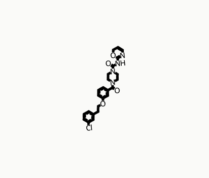 O=C(NC1=NC=CCO1)N1CCN(C(=O)c2cccc(OCCc3cccc(Cl)c3)c2)CC1